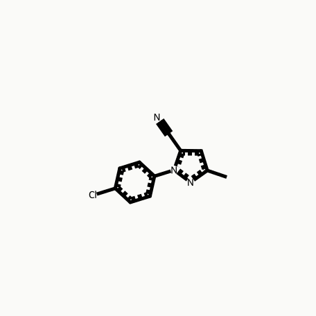 Cc1cc(C#N)n(-c2ccc(Cl)cc2)n1